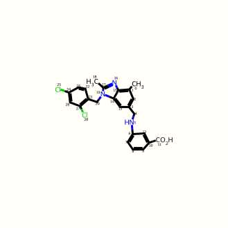 Cc1cc(CNc2cccc(C(=O)O)c2)cc2c1nc(C)n2Cc1ccc(Cl)cc1Cl